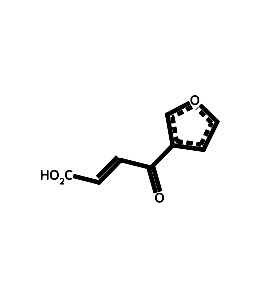 O=C(O)C=CC(=O)c1ccoc1